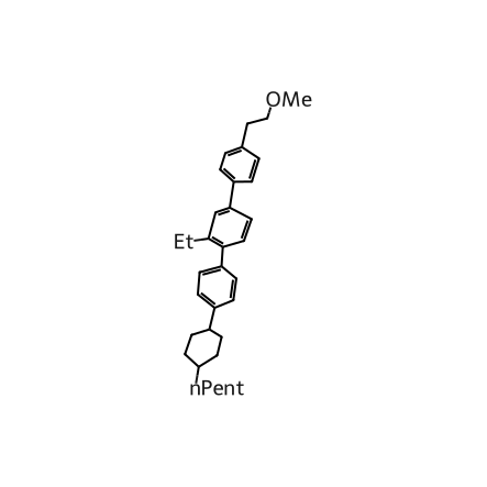 CCCCCC1CCC(c2ccc(-c3ccc(-c4ccc(CCOC)cc4)cc3CC)cc2)CC1